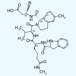 CNC(=O)CCC[C@H](NC(=O)C1Cc2ccccc2N1)C(=O)N[C@H](C(=O)N1CCc2cc(C)ccc2[C@H]1C(=O)N[C@H](C#N)CC(=O)O)C(C)C